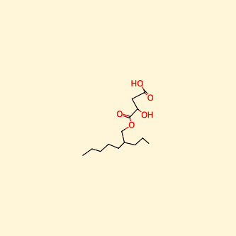 CCCCCC(CCC)COC(=O)C(O)CC(=O)O